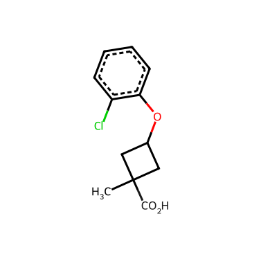 CC1(C(=O)O)CC(Oc2ccccc2Cl)C1